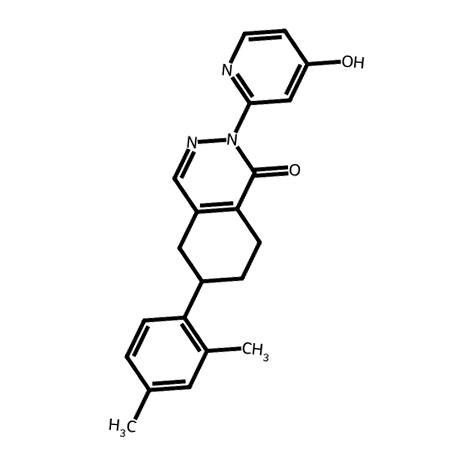 Cc1ccc(C2CCc3c(cnn(-c4cc(O)ccn4)c3=O)C2)c(C)c1